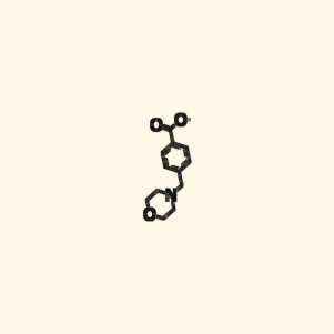 [O]C(=O)c1ccc(CN2CCOCC2)cc1